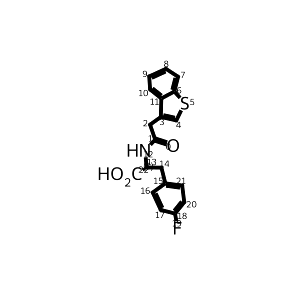 O=C(Cc1csc2ccccc12)N[C@@H](Cc1ccc(F)cc1)C(=O)O